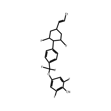 CCC=CC1CC(F)C(c2ccc(C(F)(F)Oc3cc(F)c(C#N)c(F)c3)cc2)C(F)C1